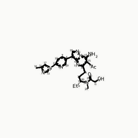 CC[C@H](CCc1nc2c(-c3ccc(-n4cnc(C)c4)nc3)cnn2c(N)c1C(C)=O)N(C)C(=O)CO